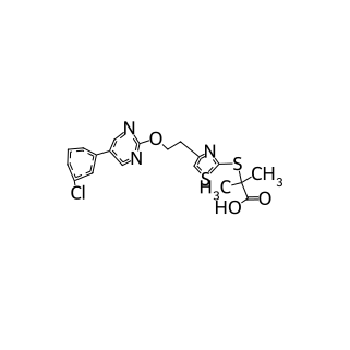 CC(C)(Sc1nc(CCOc2ncc(-c3cccc(Cl)c3)cn2)cs1)C(=O)O